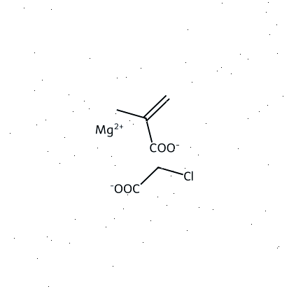 C=C(C)C(=O)[O-].O=C([O-])CCl.[Mg+2]